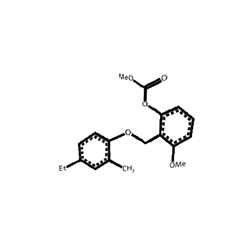 CCc1ccc(OCc2c(OC)cccc2OC(=O)OC)c(C)c1